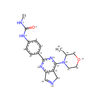 CCNC(=O)Nc1ccc(-c2nc3c(c(N4CCOCC4C)n2)CN=C3)cc1